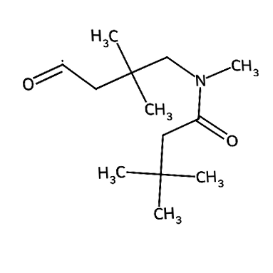 CN(CC(C)(C)C[C]=O)C(=O)CC(C)(C)C